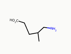 CC(CN)CCC(=O)O